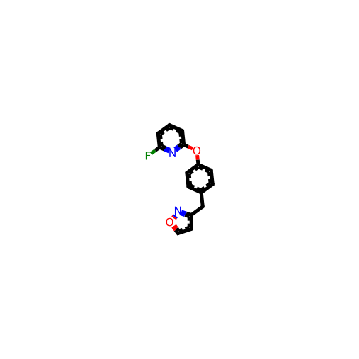 Fc1cccc(Oc2ccc(Cc3ccon3)cc2)n1